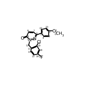 COc1ccc(-c2ccc(=O)n(Cc3ccc(F)cc3Cl)n2)cc1